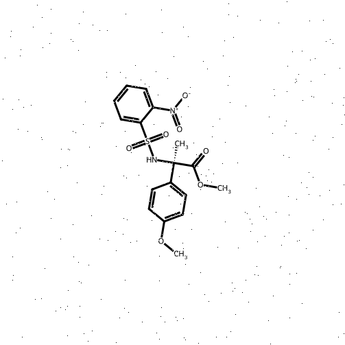 COC(=O)[C@](C)(NS(=O)(=O)c1ccccc1[N+](=O)[O-])c1ccc(OC)cc1